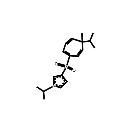 CC(C)n1ccc(S(=O)(=O)C2=CC=CC(C)(C(C)C)C=C2)c1